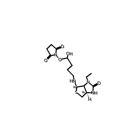 CCN1C(=O)N[C@H]2CS[C@@H](NCCCC(O)ON3C(=O)CCC3=O)C21